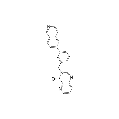 O=c1c2ncccc2ncn1Cc1cccc(-c2ccc3cnccc3c2)c1